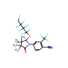 CC1(C)C(=O)N(c2ccc(C#N)c(C(F)(F)F)c2)C(OC(F)(F)C(F)(F)C(F)(F)CF)C1(C)C